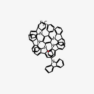 FC(F)(F)c1cccc(-c2c(-n3c4ccccc4c4ccccc43)c(-n3c4ccccc4c4ccccc43)c(-n3c4ccccc4c4cc(-n5c6ccccc6c6ccccc65)ccc43)c(-n3c4ccccc4c4ccccc43)c2-n2c3ccccc3c3ccccc32)c1